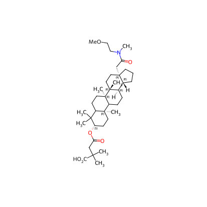 COCCN(C)C(=O)C[C@]12CCC[C@@H]1[C@H]1CCC3[C@@]4(C)CC[C@H](OC(=O)CC(C)(C)C(=O)O)C(C)(C)C4CC[C@@]3(C)[C@]1(C)CC2